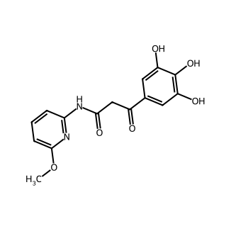 COc1cccc(NC(=O)CC(=O)c2cc(O)c(O)c(O)c2)n1